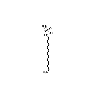 BP(O)(O)=S.CCCCCCCCCCCCN